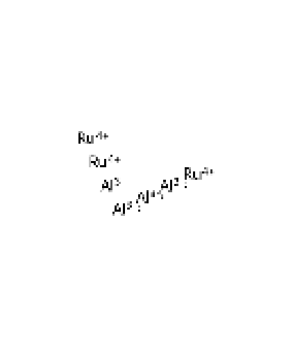 [Al-3].[Al-3].[Al-3].[Al-3].[Ru+4].[Ru+4].[Ru+4]